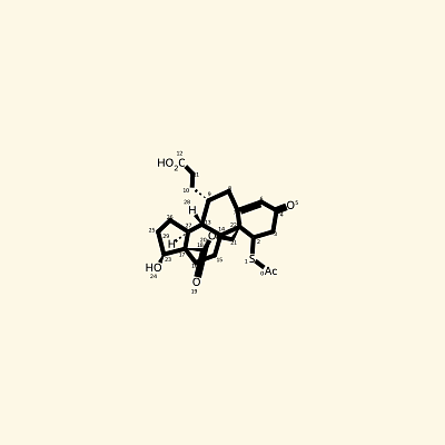 CC(=O)SC1CC(=O)C=C2C[C@@H](CCC(=O)O)[C@@H]3C4CC[C@]5(C(=O)OC[C@@]214)[C@@H](O)CC[C@@H]35